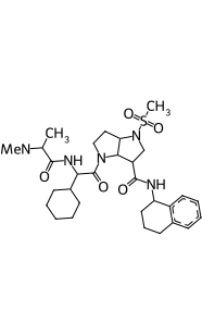 CNC(C)C(=O)NC(C(=O)N1CCC2C1C(C(=O)NC1CCCc3ccccc31)CN2S(C)(=O)=O)C1CCCCC1